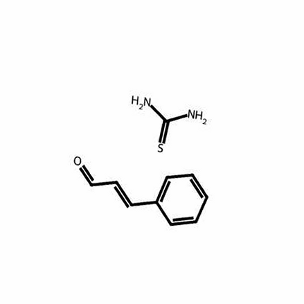 NC(N)=S.O=C/C=C/c1ccccc1